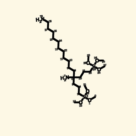 CO[Si](CCCC(N)(CCCCCCCCCCCN)CCC[Si](OC)(OC)OC)(OC)OC